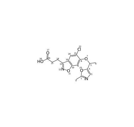 Cc1ncc(C(C)Oc2cc3onc(CCC(=O)O)c3cc2Cl)o1